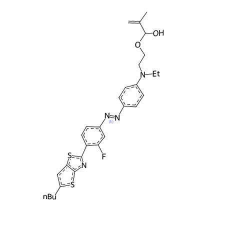 C=C(C)C(O)OCCN(CC)c1ccc(/N=N/c2ccc(-c3nc4sc(CCCC)cc4s3)c(F)c2)cc1